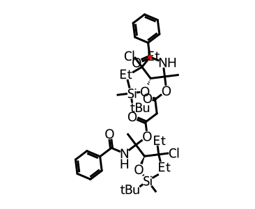 CCC(Cl)(CC)[C@@H](O[Si](C)(C)C(C)(C)C)C(C)(NC(=O)c1ccccc1)OC(=O)CC(=O)OC(C)(NC(=O)c1ccccc1)[C@H](O[Si](C)(C)C(C)(C)C)C(Cl)(CC)CC